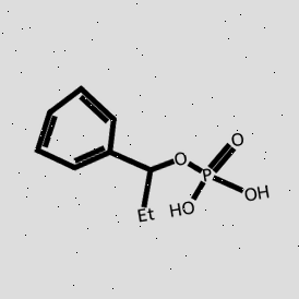 CCC(OP(=O)(O)O)c1ccccc1